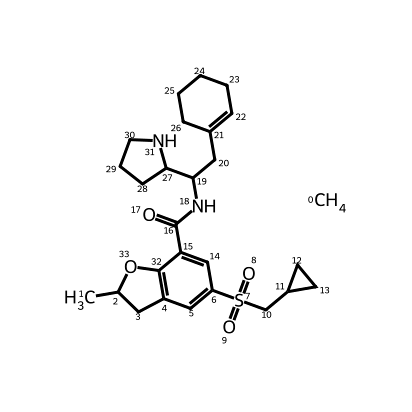 C.CC1Cc2cc(S(=O)(=O)CC3CC3)cc(C(=O)NC(CC3=CCCCC3)C3CCCN3)c2O1